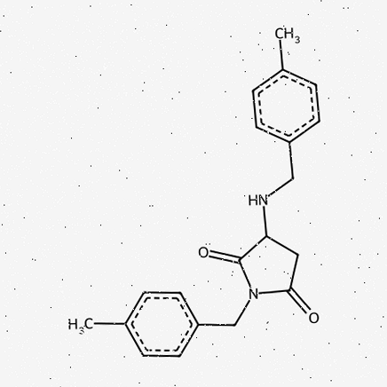 Cc1ccc(CNC2CC(=O)N(Cc3ccc(C)cc3)C2=O)cc1